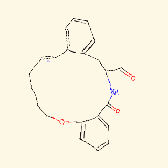 O=CC1Cc2ccccc2/C=C/CCCCOc2ccccc2C(=O)N1